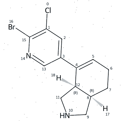 Clc1cc(C2=CCC[C@H]3CNC[C@@H]23)cnc1Br